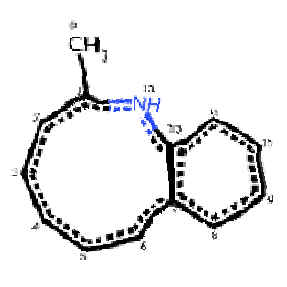 Cc1cccccc2ccccc2[nH]1